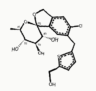 C[C@H]1O[C@]2(OCc3cc(Cl)c(Cc4ccc(CO)s4)cc32)[C@H](O)[C@@H](O)[C@@H]1O